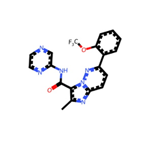 Cc1nc2ccc(-c3ccccc3OC(F)(F)F)nn2c1C(=O)Nc1cnccn1